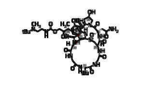 CC[C@H](C)[C@@H]1NC(=O)CNC(=O)[C@@H]2Cc3c([nH]c4cc(O)ccc34)[S+]([O-])C[C@H](NC(=O)CNC1=O)C(=O)N[C@@H](CC(N)=O)C(=O)N1C[C@H](O)C[C@H]1C(=O)N[C@@H]([C@@H](C)[C@@H](O)COC(=O)NCCN(C)C(C)(C)C)C(=O)N2